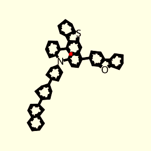 c1ccc(N(c2ccc(-c3ccc(-c4ccc5ccccc5c4)cc3)cc2)c2ccc(-c3ccc4c(c3)oc3ccccc34)cc2)c(-c2cccc3sc4ccccc4c23)c1